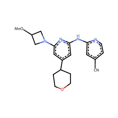 COC1CN(c2cc(C3CCOCC3)cc(Nc3cc(C#N)ccn3)n2)C1